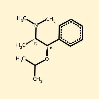 CC(C)O[C@H](c1ccccc1)[C@H](C)N(C)C